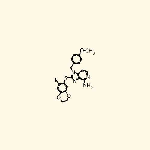 COc1ccc(Cn2c(Sc3cc4c(cc3I)OCCO4)nc3c(N)nccc32)cc1